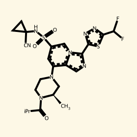 CC(C)C(=O)N1CCN(c2cc(S(=O)(=O)NC3(C#N)CC3)cn3c(-c4nnc(C(F)F)s4)ncc23)C[C@H]1C